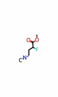 [C-]#[N+]CCC(F)C(=O)OC